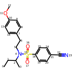 CCC(C)N(CCc1ccc(OC)cc1)S(=O)(=O)c1ccc(C#N)cc1